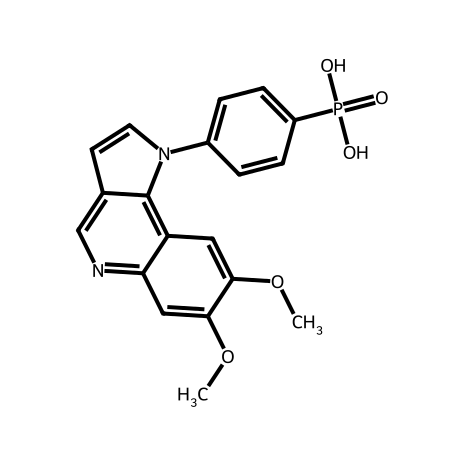 COc1cc2ncc3ccn(-c4ccc(P(=O)(O)O)cc4)c3c2cc1OC